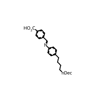 CCCCCCCCCCCCCCc1ccc(N=Cc2ccc(C(=O)O)cc2)cc1